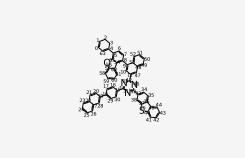 C1=CCCC(c2ccc(-c3cc(-c4nc(-c5ccc(-c6ccc7ccccc7c6)cc5)nc(-c5ccc6c(c5)sc5ccccc56)n4)cc4ccccc34)c3c2oc2ccccc23)=C1